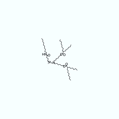 CCCCCCCCCCNC(=O)CCCN(C)CCN(CCCCCCOC(=O)C(CCCCCC)CCCCCCCC)CCCCCCOC(=O)C(CCCCCC)CCCCCCCC